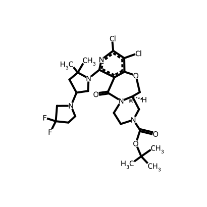 CC(C)(C)OC(=O)N1CCN2C(=O)c3c(N4CC(N5CCC(F)(F)C5)CC4(C)C)nc(Cl)c(Cl)c3OC[C@H]2C1